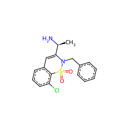 C[C@H](N)C1=Cc2cccc(Cl)c2S(=O)(=O)N1Cc1ccccc1